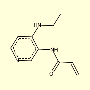 C=CC(=O)Nc1cnccc1NCC